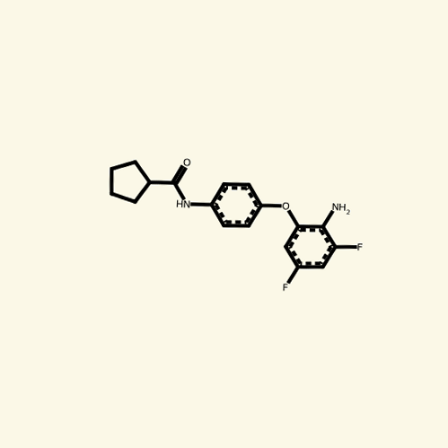 Nc1c(F)cc(F)cc1Oc1ccc(NC(=O)C2CCCC2)cc1